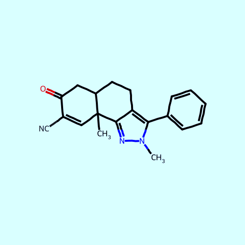 Cn1nc2c(c1-c1ccccc1)CCC1CC(=O)C(C#N)=CC21C